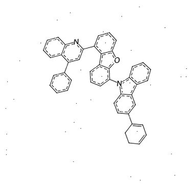 C1=CCCC(c2ccc3c(c2)c2ccccc2n3-c2cccc3c2oc2cccc(-c4cc(-c5ccccc5)c5ccccc5n4)c23)=C1